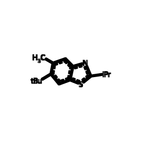 Cc1cc2nc(C(C)C)sc2cc1C(C)(C)C